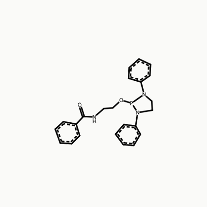 O=C(NCCOP1N(c2ccccc2)CCN1c1ccccc1)c1ccccc1